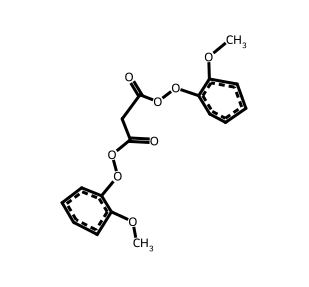 COc1ccccc1OOC(=O)CC(=O)OOc1ccccc1OC